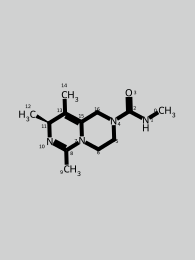 CNC(=O)N1CCN2C(C)=N[C@@H](C)C(C)=C2C1